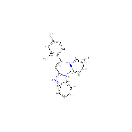 Cl.Fc1ccc(/C=C/c2nc3ccccc3n2-c2ccccn2)c(F)c1